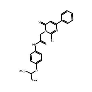 CCCCCCC(Oc1ccc(NC(=O)Cn2c(CC)nc(-c3ccccc3)cc2=O)cc1)C(=O)OCC